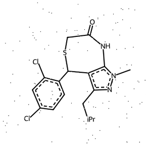 CC(C)Cc1nn(C)c2c1C(c1ccc(Cl)cc1Cl)SCC(=O)N2